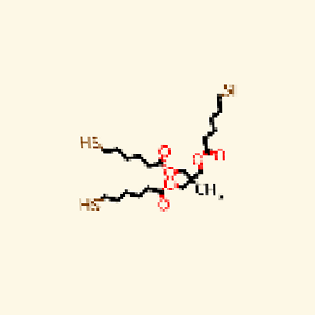 CC(COC(=O)CCCCCS)(COC(=O)CCCCCS)COC(=O)CCCCCS